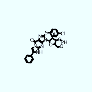 O=c1c2nc(Sc3ccc(Cl)cc3)n(C3OC4COPOC4C3O)c2nc2[nH]c(-c3ccccc3)cn12